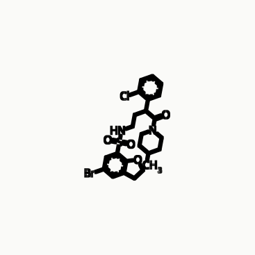 CC1CCN(C(=O)C(CCNS(=O)(=O)c2cc(Br)cc3c2OCC3)c2ccccc2Cl)CC1